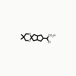 CCC(C(=O)O)C1CC2CC3(CC2C1)OCC(C)(C)CO3